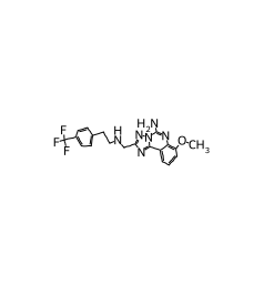 COc1cccc2c1nc(N)n1nc(CNCCc3ccc(C(F)(F)F)cc3)nc21